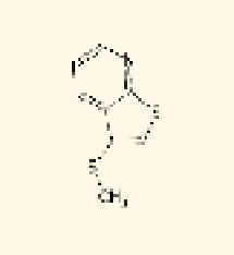 CSc1csc2ncccc12